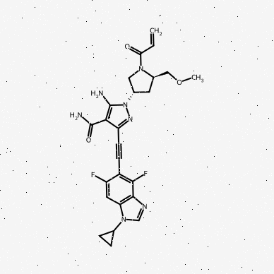 C=CC(=O)N1C[C@@H](n2nc(C#Cc3c(F)cc4c(ncn4C4CC4)c3F)c(C(N)=O)c2N)C[C@@H]1COC